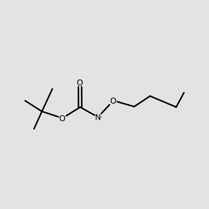 CCCCO[N]C(=O)OC(C)(C)C